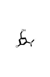 CN(C)c1cc(Cl)cc(CO)c1